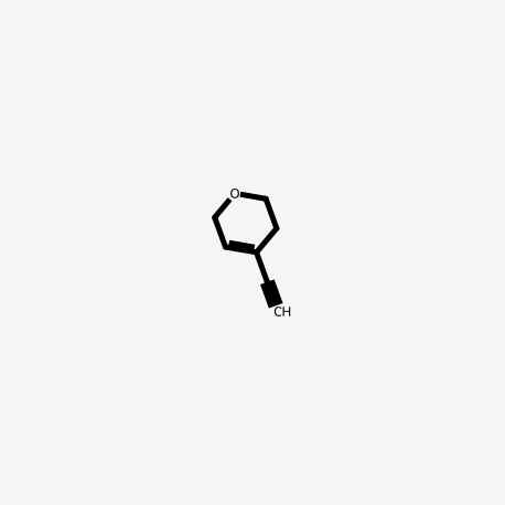 C#CC1=CCOCC1